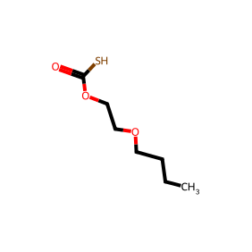 CCCCOCCOC(=O)S